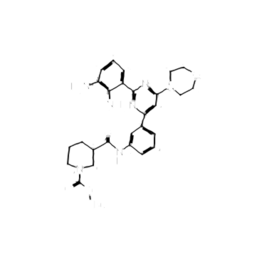 CC(C)(C)OC(=O)N1CCCC(C(=O)Nc2cccc(-c3cc(N4CCOCC4)nc(-c4cccc(N)c4N)n3)c2)C1